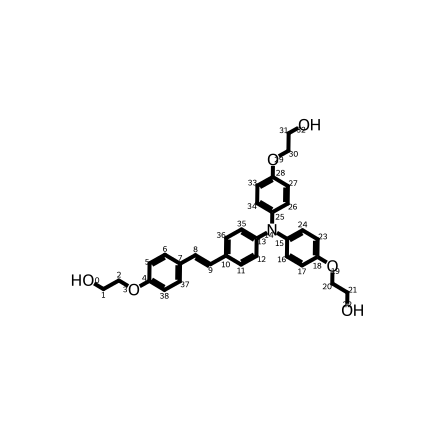 OCCOc1ccc(C=Cc2ccc(N(c3ccc(OCCO)cc3)c3ccc(OCCO)cc3)cc2)cc1